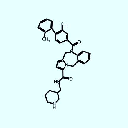 Cc1ccccc1-c1ccc(C(=O)N2Cc3ccc(C(=O)NCC4CCCNC4)n3Cc3ccccc32)cc1C